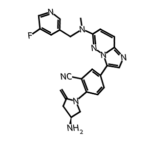 C=C1C[C@H](N)CN1c1ccc(-c2cnc3ccc(N(C)Cc4cncc(F)c4)nn23)cc1C#N